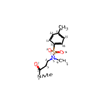 CNC(=O)CCN(C)S(=O)(=O)c1ccc(C)cc1